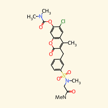 CNC(=O)CN(C)S(=O)(=O)c1cccc(Cc2c(C)c3cc(Cl)c(OC(=O)N(C)C)cc3oc2=O)c1